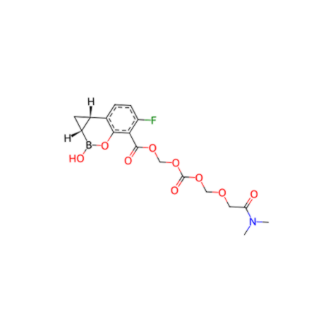 CN(C)C(=O)COCOC(=O)OCOC(=O)c1c(F)ccc2c1OB(O)[C@@H]1C[C@H]21